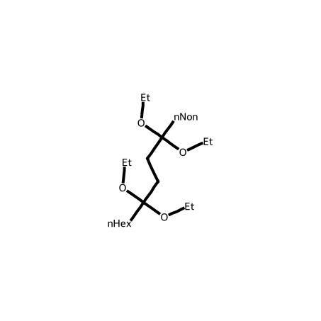 CC[CH]CCCC(CCC(CCCCCCCCC)(OCC)OCC)(OCC)OCC